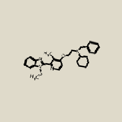 CSn1c(-c2nccc(OCCN(Cc3ccccc3)C3CCCCC3)c2C)nc2ccccc21